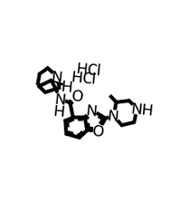 CC1CNCCN1c1nc2c(C(=O)N[C@@H]3CC4CCN3CC4)cccc2o1.Cl.Cl